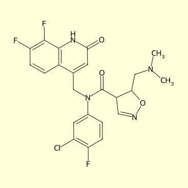 CN(C)CC1ON=CC1C(=O)N(Cc1cc(=O)[nH]c2c(F)c(F)ccc12)c1ccc(F)c(Cl)c1